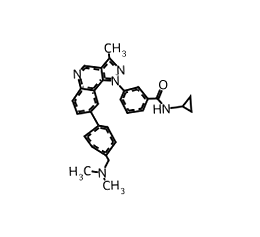 Cc1nn(-c2cccc(C(=O)NC3CC3)c2)c2c1cnc1ccc(-c3ccc(CN(C)C)cc3)cc12